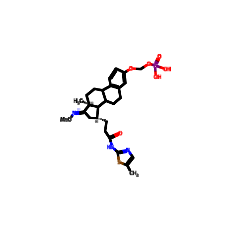 CO/N=C1\C[C@@H](CCC(=O)Nc2ncc(C)s2)C2C3CCc4cc(OCOP(=O)(O)O)ccc4C3CC[C@]12C